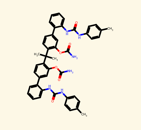 Cc1ccc(NC(=O)Nc2ccccc2-c2ccc(C(C)(C)c3ccc(-c4ccccc4NC(=O)Nc4ccc(C)cc4)cc3OC(N)=O)c(OC(N)=O)c2)cc1